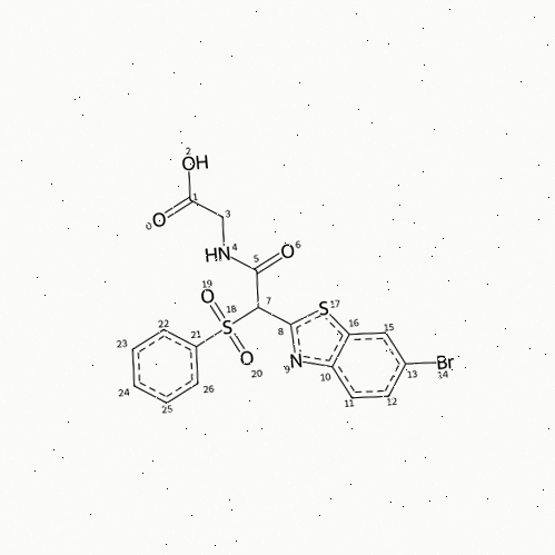 O=C(O)CNC(=O)C(c1nc2ccc(Br)cc2s1)S(=O)(=O)c1ccccc1